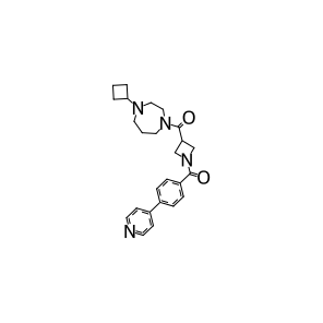 O=C(c1ccc(-c2ccncc2)cc1)N1CC(C(=O)N2CCCN(C3CCC3)CC2)C1